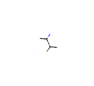 CC(S)C(N)C(=O)O.[Cu]